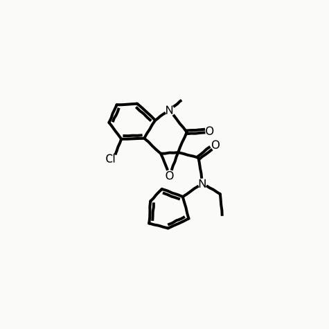 CCN(C(=O)C12OC1c1c(Cl)cccc1N(C)C2=O)c1ccccc1